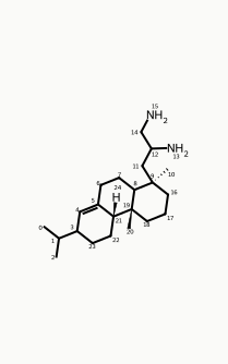 CC(C)C1C=C2CCC3[C@@](C)(CC(N)CN)CCC[C@]3(C)[C@@H]2CC1